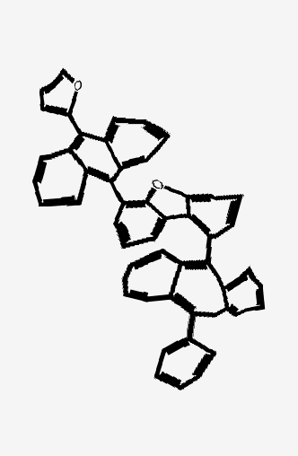 c1ccc(-c2c3ccccc3c(-c3cccc4oc5c(-c6c7ccccc7c(-c7ccco7)c7ccccc67)cccc5c34)c3ccccc23)cc1